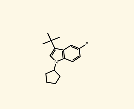 CC(C)(C)c1cn(C2CCCC2)c2ccc(F)cc12